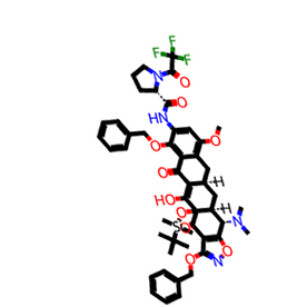 COc1cc(NC(=O)[C@@H]2CCCN2C(=O)C(F)(F)F)c(OCc2ccccc2)c2c1C[C@H]1C[C@H]3[C@H](N(C)C)c4onc(OCc5ccccc5)c4C(=O)C3(O[Si](C)(C)C(C)(C)C)C(O)=C1C2=O